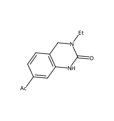 CCN1Cc2ccc(C(C)=O)cc2NC1=O